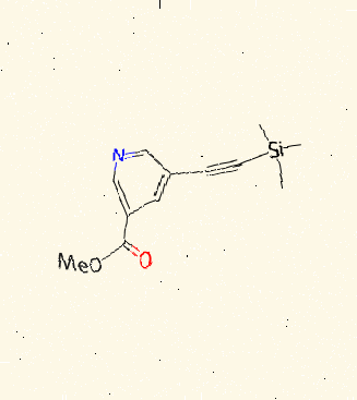 COC(=O)c1cncc(C#C[Si](C)(C)C)c1